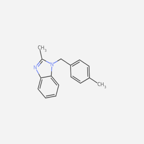 Cc1ccc(Cn2c(C)nc3ccccc32)cc1